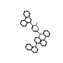 CC1CC(N(c2ccc(-c3cccc4ccccc34)cc2)c2ccccc2-c2ccccc2)=CC=C1c1cc2ccccc2c2ccccc12